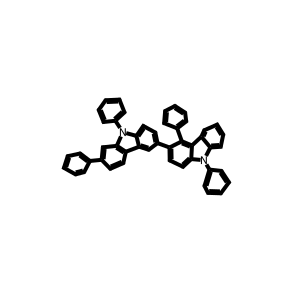 c1ccc(-c2ccc3c4cc(-c5ccc6c(c5-c5ccccc5)c5ccccc5n6-c5ccccc5)ccc4n(-c4ccccc4)c3c2)cc1